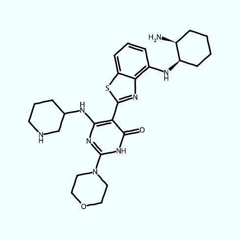 N[C@H]1CCCC[C@H]1Nc1cccc2sc(-c3c(NC4CCCNC4)nc(N4CCOCC4)[nH]c3=O)nc12